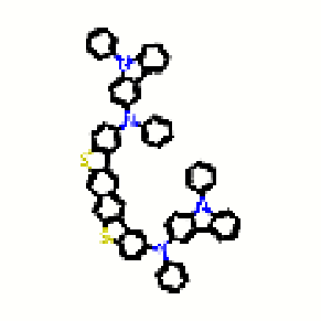 c1ccc(N(c2ccc3sc4cc5cc6sc7ccc(N(c8ccccc8)c8ccc9c(c8)c8ccccc8n9-c8ccccc8)cc7c6cc5cc4c3c2)c2ccc3c(c2)c2ccccc2n3-c2ccccc2)cc1